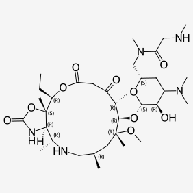 CC[C@H]1OC(=O)CC(=O)[C@H](C)[C@@H](O[C@@H]2O[C@H](CN(C)C(=O)CNC)CC(N(C)C)[C@H]2O)[C@](C)(OC)C[C@@H](C)CN[C@H](C)[C@H]2NC(=O)O[C@@]21C